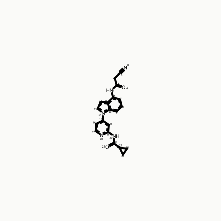 N#CCC(=O)Nc1cccc2c1ccn2-c1ccnc(NC(=O)C2CC2)c1